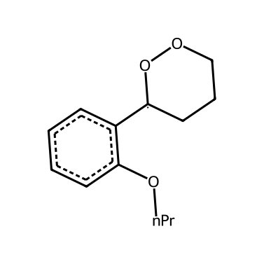 CCCOc1ccccc1[C]1CCCOO1